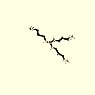 CCCCO[10B](OCCCC)OCCCC